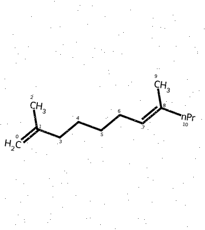 C=C(C)CCCCC=C(C)CCC